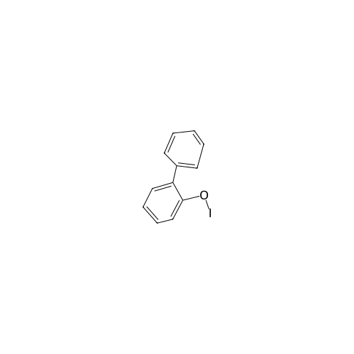 IOc1ccccc1-c1ccccc1